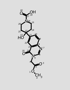 COC(=O)Cn1cnc2ccc(C3(O)CCN(C(=O)O)CC3)cc2c1=O